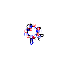 C=CC(C)(C)n1cc(C[C@@H]2NC(=O)[C@H](CC3CCC3)NC(=O)[C@H](CC(C)C)N3CC/C=C\C[C@@H](C3=O)N(C)C(=O)[C@H](C)NC(=O)[C@H](Cc3ccc4ncncc4c3)NC(=O)[C@H](CC(C)C)N(C)C2=O)c2ccccc21